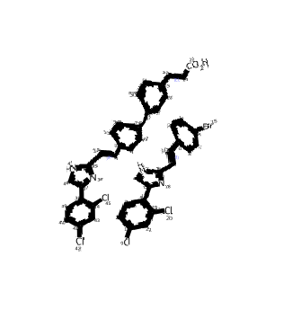 Clc1ccc(-c2c[nH]c(/C=C/c3ccc(Br)cc3)n2)c(Cl)c1.O=C(O)/C=C/c1ccc(-c2ccc(/C=C/c3nc(-c4ccc(Cl)cc4Cl)c[nH]3)cc2)cc1